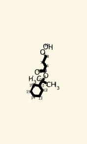 CC(C)(OC(=O)CCCOO)C1CCCCC1